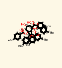 CCCCc1ccc(C(=O)O[C@@]2(C(=O)c3ccc(CCCC)cc3)[C@@](OC(=O)c3ccc(CCCC)cc3)(C(=O)c3ccc(CCCC)cc3)[C@@H](O)[C@H](O)[C@@H](O)[C@@]2(OC(=O)c2ccc(CCCC)cc2)C(=O)c2ccc(CCCC)cc2)cc1